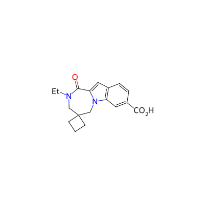 CCN1CC2(CCC2)Cn2c(cc3ccc(C(=O)O)cc32)C1=O